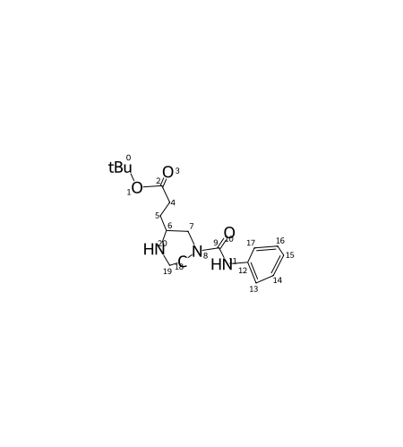 CC(C)(C)OC(=O)CCC1CN(C(=O)Nc2ccccc2)CCN1